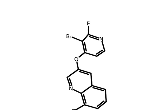 Fc1nccc(Oc2cnc3c(F)cccc3c2)c1Br